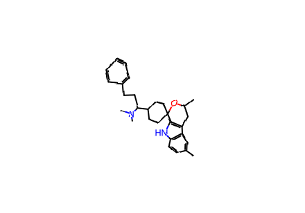 Cc1ccc2[nH]c3c(c2c1)CC(C)OC31CCC(C(CCc2ccccc2)N(C)C)CC1